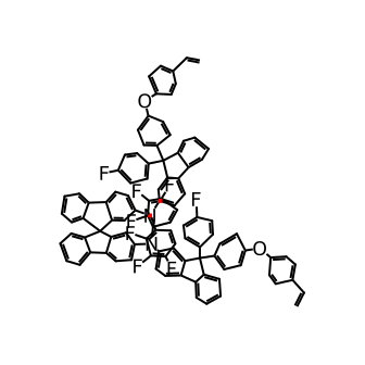 C=Cc1ccc(Oc2ccc(C3(c4ccc(F)cc4)c4ccccc4-c4ccc(N(c5ccc6c(c5)C5(c7ccccc7-6)c6ccccc6-c6ccc(N(c7ccc8c(c7)C(c7ccc(F)cc7)(c7ccc(Oc9ccc(C=C)cc9)cc7)c7ccccc7-8)c7ccc(F)c(F)c7F)cc65)c5ccc(F)c(F)c5F)cc43)cc2)cc1